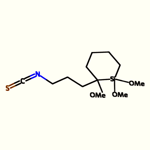 COC1(CCCN=C=S)CCCC[Si]1(OC)OC